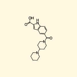 O=C(O)c1cc2cc(C(=O)N3CCC(N4CCCCC4)CC3)ccc2[nH]1